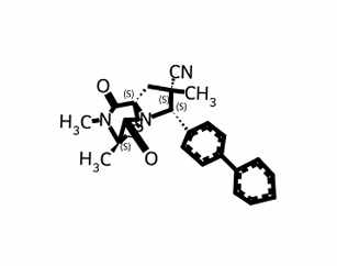 CN1C(=O)[C@@]23C[C@](C)(C#N)[C@H](c4ccc(-c5ccccc5)cc4)N2C(=O)[C@]1(C)SS3